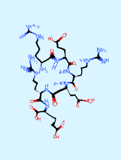 N=C(N)NCCC[C@H](NC(=O)[C@H](CCC(=O)O)NC(=O)[C@H](CCCNC(=N)N)NC(=O)[C@H](CCC(=O)O)NC(=O)[C@@H](N)CCCNC(=N)N)C(=O)N[C@@H](CCC(=O)O)C(=O)O